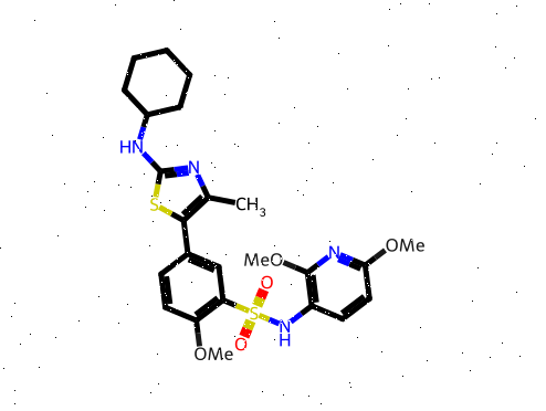 COc1ccc(NS(=O)(=O)c2cc(-c3sc(NC4CCCCC4)nc3C)ccc2OC)c(OC)n1